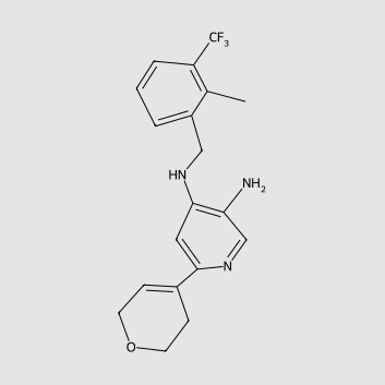 Cc1c(CNc2cc(C3=CCOCC3)ncc2N)cccc1C(F)(F)F